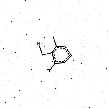 Cc1[c]ccc(Cl)c1CN